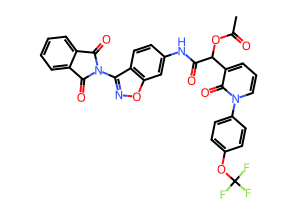 CC(=O)OC(C(=O)Nc1ccc2c(N3C(=O)c4ccccc4C3=O)noc2c1)c1cccn(-c2ccc(OC(F)(F)F)cc2)c1=O